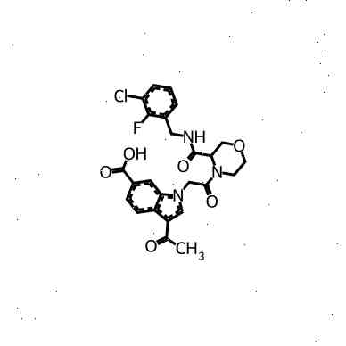 CC(=O)c1cn(CC(=O)N2CCOCC2C(=O)NCc2cccc(Cl)c2F)c2cc(C(=O)O)ccc12